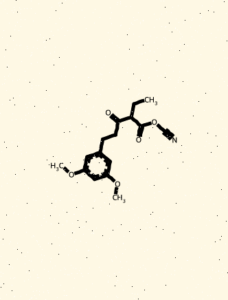 CCC(C(=O)CCc1cc(OC)cc(OC)c1)C(=O)OC#N